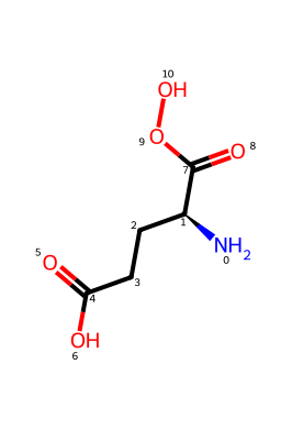 N[C@@H](CCC(=O)O)C(=O)OO